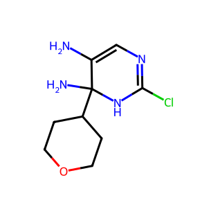 NC1=CN=C(Cl)NC1(N)C1CCOCC1